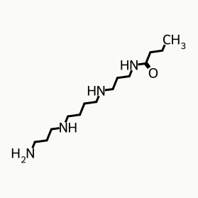 CCCC(=O)NCCCNCCCCNCCCN